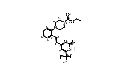 CCOC(=O)N1CCN(c2ccccc2/C=C/c2cc(C(F)(F)F)[nH]c(=O)n2)CC1